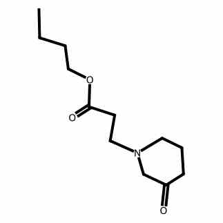 CCCCOC(=O)CCN1CCCC(=O)C1